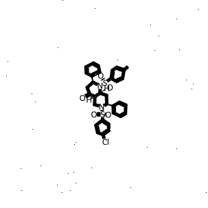 Cc1ccc(S(=O)(=O)N2[C@H](c3ccccc3)CC(=O)[C@@H]3CN(S(=O)(=O)c4ccc(Cl)cc4)[C@H](c4ccccc4)C[C@@H]32)cc1